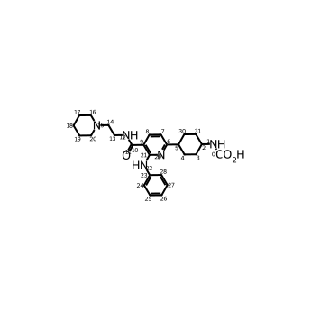 O=C(O)NC1CCC(c2ccc(C(=O)NCCN3CCCCC3)c(Nc3ccccc3)n2)CC1